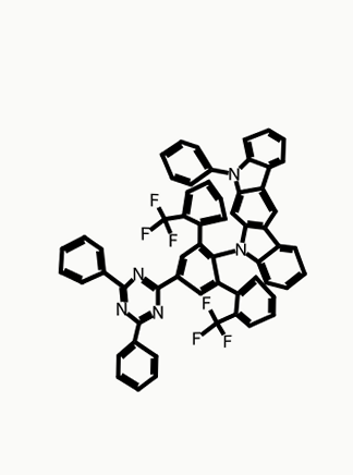 FC(F)(F)c1ccccc1-c1cc(-c2nc(-c3ccccc3)nc(-c3ccccc3)n2)cc(-c2ccccc2C(F)(F)F)c1-n1c2ccccc2c2cc3c4ccccc4n(-c4ccccc4)c3cc21